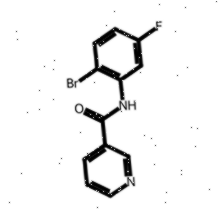 O=C(Nc1cc(F)ccc1Br)c1cccnc1